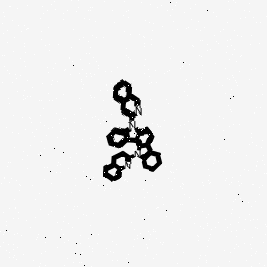 c1ccc2cc(-n3c4ccccc4c4c5c(ccc43)c3c(n5-c4ccc5ccccc5n4)CCCC3)ncc2c1